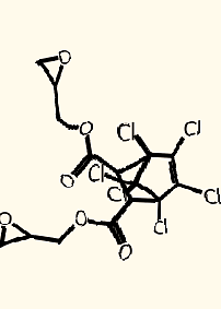 O=C(OCC1CO1)C1C(C(=O)OCC2CO2)C2(Cl)C(Cl)=C(Cl)C1(Cl)C2(Cl)Cl